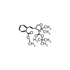 CCOC(=O)c1ccccc1C=CC1COC(C)(C)N1C(=O)OC(C)(C)C